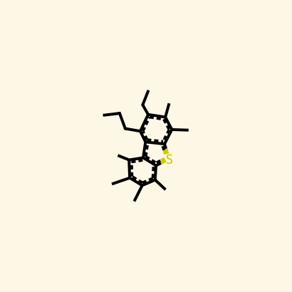 CCCc1c(CC)c(C)c(C)c2sc3c(C)c(C)c(C)c(C)c3c12